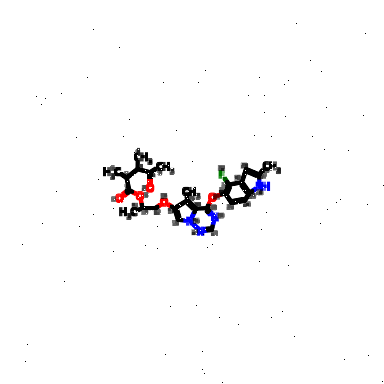 CC(=O)C(C)C(C)C(=O)O[C@H](C)COc1cn2ncnc(Oc3ccc4[nH]c(C)cc4c3F)c2c1C